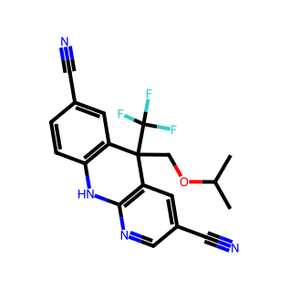 CC(C)OCC1(C(F)(F)F)c2cc(C#N)ccc2Nc2ncc(C#N)cc21